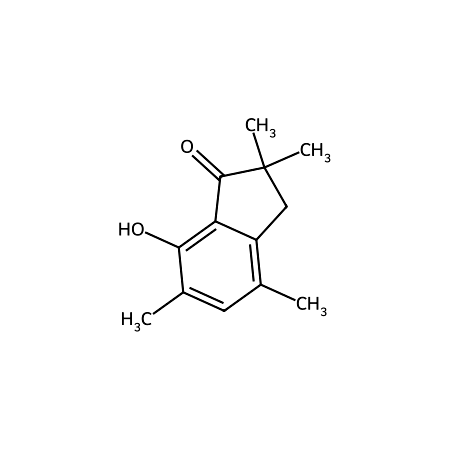 Cc1cc(C)c2c(c1O)C(=O)C(C)(C)C2